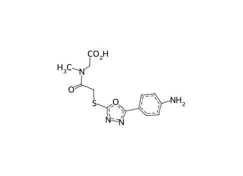 CN(CC(=O)O)C(=O)CSc1nnc(-c2ccc(N)cc2)o1